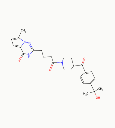 Cc1ccc2c(=O)[nH]c(CCCC(=O)N3CCC(C(=O)c4ccc(C(C)(C)O)cc4)CC3)nn12